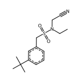 CCN(CC#N)S(=O)(=O)Cc1cccc(C(C)(C)C)c1